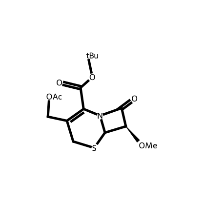 CO[C@@H]1C(=O)N2C(C(=O)OC(C)(C)C)=C(COC(C)=O)CSC12